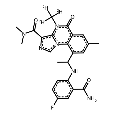 [2H]C([2H])([2H])n1c(=O)c2cc(C)cc(C(C)Nc3ccc(F)cc3C(N)=O)c2n2cnc(C(=O)N(C)C)c12